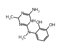 CC1N=C(N)NC(N(C)c2cccc(O)c2O)=N1